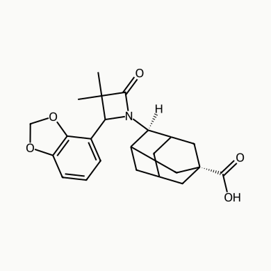 CC1(C)C(=O)N([C@H]2C3CC4CC2C[C@](C(=O)O)(C4)C3)C1c1cccc2c1OCO2